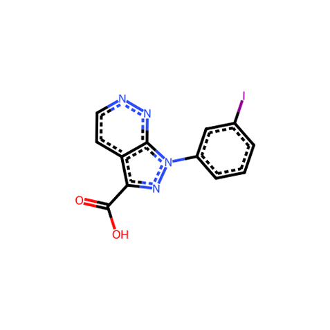 O=C(O)c1nn(-c2cccc(I)c2)c2nnccc12